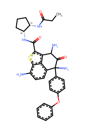 CCC(=O)N[C@H]1CCC[C@H]1NC(=O)c1sc2c(N)ccc3c2c1C(N)C(=O)C3(N)c1ccc(Oc2ccccc2)cc1